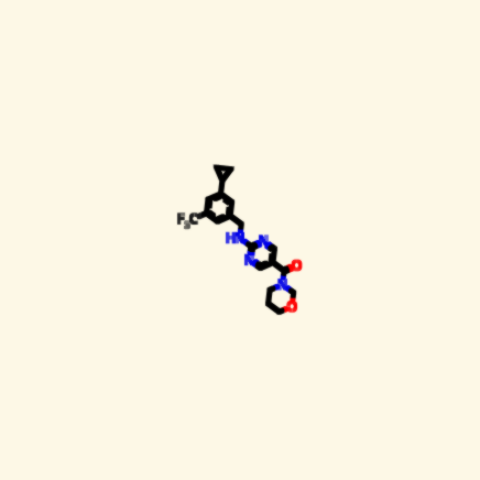 O=C(c1cnc(NCc2cc(C3CC3)cc(C(F)(F)F)c2)nc1)N1CCCOC1